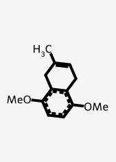 COc1ccc(OC)c2c1CC=C(C)C2